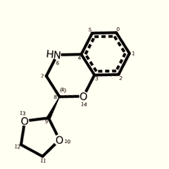 c1ccc2c(c1)NC[C@H](C1OCCO1)O2